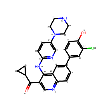 O=C(c1cnc2ccc(-c3ccc(O)c(Cl)c3)cc2c1Nc1ccc(N2CCNCC2)cn1)C1CC1